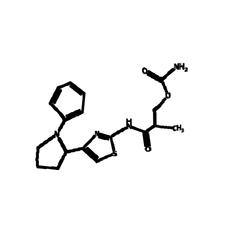 CC(COC(N)=O)C(=O)Nc1nc(C2CCCN2c2ccccc2)cs1